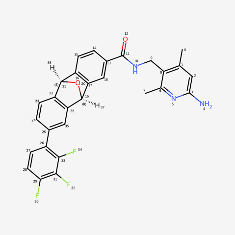 Cc1cc(N)nc(C)c1CNC(=O)c1ccc2c(c1)[C@@H]1O[C@H]2c2ccc(-c3ccc(F)c(F)c3F)cc21